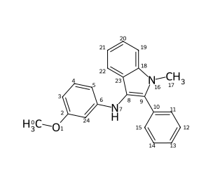 COc1cccc(Nc2c(-c3ccccc3)n(C)c3ccccc23)c1